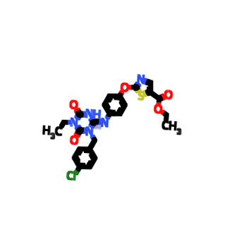 CCOC(=O)c1cnc(Oc2ccc(/N=c3\[nH]c(=O)n(CC)c(=O)n3Cc3ccc(Cl)cc3)cc2)s1